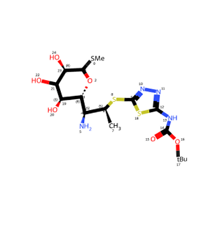 CSC1O[C@H]([C@H](N)[C@H](C)Sc2nnc(NC(=O)OC(C)(C)C)s2)[C@@H](O)C(O)[C@H]1O